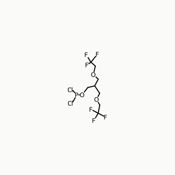 FC(F)(F)COCC(COCC(F)(F)F)COP(Cl)Cl